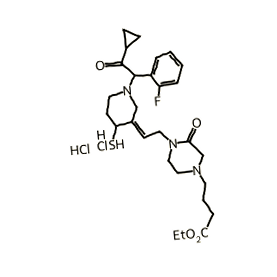 CCOC(=O)CCCN1CCN(C/C=C2\CN(C(C(=O)C3CC3)c3ccccc3F)CCC2S)C(=O)C1.Cl.Cl